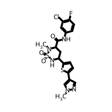 CN1C(C(=O)Nc2ccc(F)c(Cl)c2)CC(c2ccc(-c3cnn(C)c3)s2)NS1(=O)=O